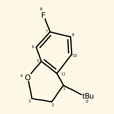 CC(C)(C)C1CCOc2cc(F)ccc21